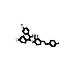 CC1=CC=C(CCC2=CC3=C(CC2)N=C(C2=CC=C(F)CC2)C(C2C=CC(F)=CC2)N3)CC1